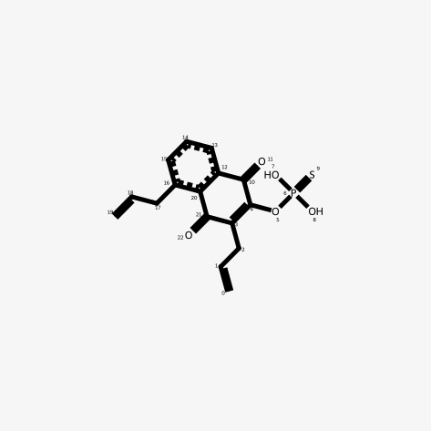 C=CCC1=C(OP(O)(O)=S)C(=O)c2cccc(CC=C)c2C1=O